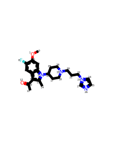 COc1cc2c(cc1F)c(C(C)=O)c(C)n2C1CCN(CCCn2ccnc2)CC1